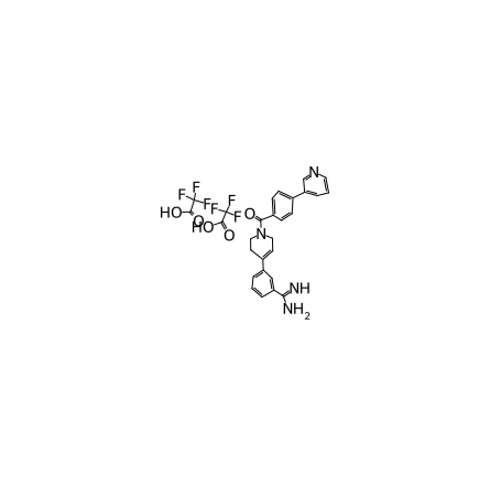 N=C(N)c1cccc(C2=CCN(C(=O)c3ccc(-c4cccnc4)cc3)CC2)c1.O=C(O)C(F)(F)F.O=C(O)C(F)(F)F